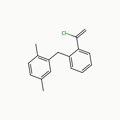 C=C(Cl)c1ccccc1Cc1cc(C)ccc1C